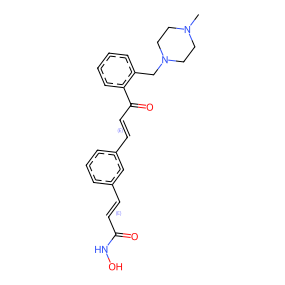 CN1CCN(Cc2ccccc2C(=O)/C=C/c2cccc(/C=C/C(=O)NO)c2)CC1